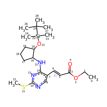 CCOC(=O)/C=C/c1cnc(SC)nc1NC1CCCC1O[Si](C)(C)C(C)(C)C